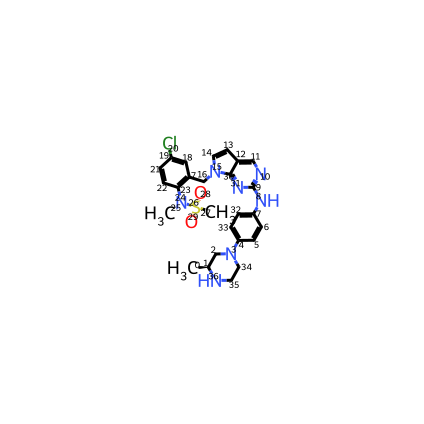 C[C@H]1CN(c2ccc(Nc3ncc4ccn(Cc5cc(Cl)ccc5N(C)S(C)(=O)=O)c4n3)cc2)CCN1